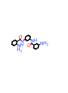 Nc1cccc(C(=O)Nc2cccc(NC(=O)c3ccccc3N)c2)c1